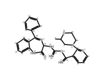 CC1CN(c2ncccc2C(=N)OC(=N)NC2N=C(c3ccccc3)c3ccccc3NC2=O)CCO1